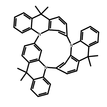 CC1(C)c2ccccc2N2c3ccc4c(c3)N(c3ccc5c(c3)N(c3ccc1c2c3)c1ccccc1C5(C)C)c1ccccc1C4(C)C